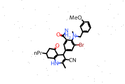 CCCC1CC(=O)C2=C(C1)NC(C)=C(C#N)C2c1cc(Br)c(N(C)Cc2cccc(OC)c2)c(C(N)=O)c1